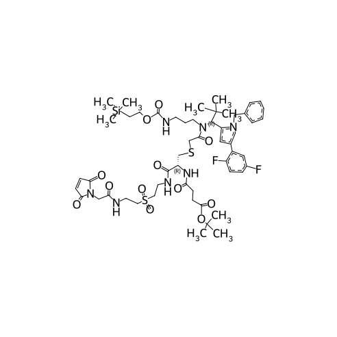 CC(C)(C)OC(=O)CCC(=O)N[C@@H](CSCC(=O)N(CCCNC(=O)OCC[Si](C)(C)C)[C@@H](c1cc(-c2cc(F)ccc2F)cn1Cc1ccccc1)C(C)(C)C)C(=O)NCCS(=O)(=O)CCNC(=O)CN1C(=O)C=CC1=O